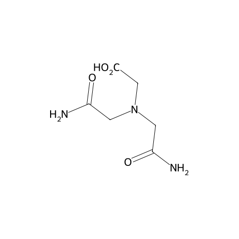 NC(=O)CN(CC(N)=O)CC(=O)O